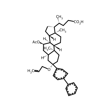 C=CCO[C@@]1(c2ccc(-c3ccccc3)cc2)CC[C@@]2(C)[C@H](C[C@@H](OC(C)=O)[C@@H]3[C@@H]2CC[C@]2(C)[C@@H]([C@H](C)CCC(=O)O)CC[C@@H]32)C1